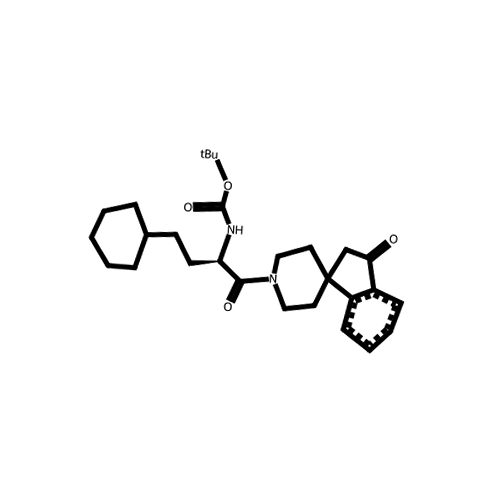 CC(C)(C)OC(=O)N[C@H](CCC1CCCCC1)C(=O)N1CCC2(CC1)CC(=O)c1ccccc12